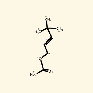 CC(=O)OC/C=C/C(C)(C)C